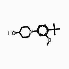 COc1cc(N2CCC(O)CC2)ccc1C(C)(C)C